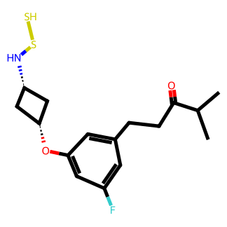 CC(C)C(=O)CCc1cc(F)cc(O[C@H]2C[C@@H](NSS)C2)c1